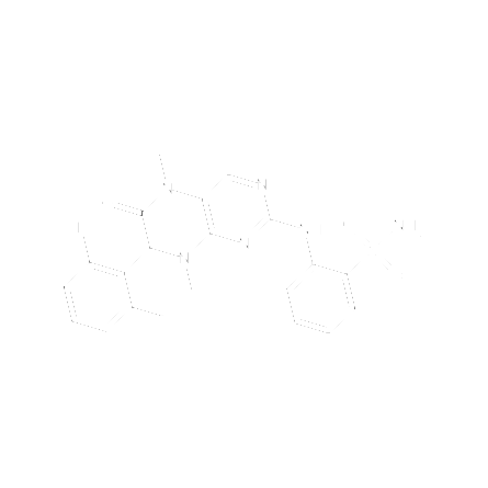 CN1C(=O)C(c2c(F)cccc2F)N(C)c2nc(Nc3ccccc3S(N)(=O)=O)ncc21